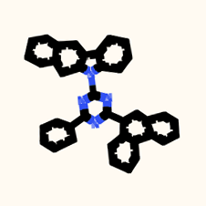 c1ccc(-c2nc(-c3cc4ccccc4c4ccccc34)nc(-n3c4ccccc4c4cc5ccccc5cc43)n2)cc1